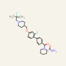 CC(C)(F)CN1CCC(COc2ccc(-c3ccc(C(=O)N4CCCC[C@H]4C(N)=O)cc3)c(F)c2)CC1